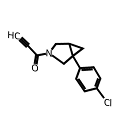 C#CC(=O)N1CC2CC2(c2ccc(Cl)cc2)C1